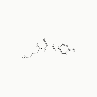 CCCCC(Cl)OC(=O)/C=C/c1ccc(Br)cc1